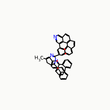 C\C1=C(c2ccc3c4ccccc4c4ccccc4c3c2)/N=C(c2cccc(-c3cncc4ccc5ccc6ccccc6c5c34)c2)\N=C(\c2ccccc2)CC1